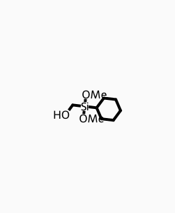 CO[Si](CO)(OC)C1CCCCC1